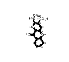 CONc1nc2c(=O)c3ccccc3oc2cc1C(=O)O